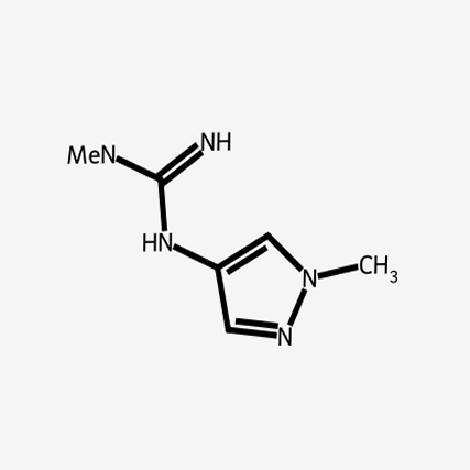 CNC(=N)Nc1cnn(C)c1